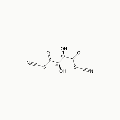 N#CSC(=O)[C@H](O)[C@@H](O)C(=O)SC#N